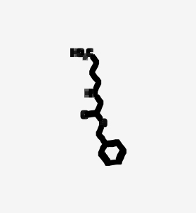 O=C(O)CCCNCC(=O)OCc1ccccc1